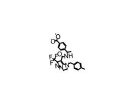 COC(=O)c1ccc(C(C)NC(=O)c2c(C(F)(F)F)nn3c2N(Cc2ccc(C)cc2)CC3)cc1